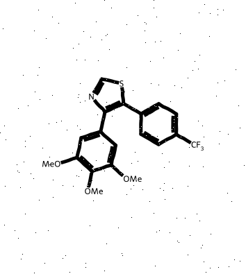 COc1cc(-c2ncsc2-c2ccc(C(F)(F)F)cc2)cc(OC)c1OC